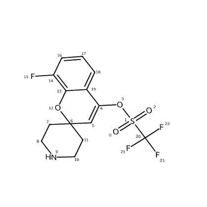 O=S(=O)(OC1=CC2(CCNCC2)Oc2c(F)cccc21)C(F)(F)F